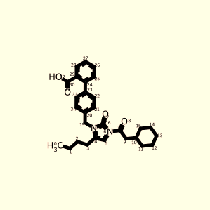 CCCCc1cn(C(=O)CC2CCCCC2)c(=O)n1Cc1ccc(-c2ccccc2C(=O)O)cc1